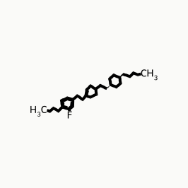 CCCCC[C@H]1CC[C@H](CCC2CC=C(CCc3ccc(CCCC)c(F)c3)CC2)CC1